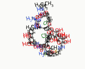 CN[C@H](CC(C)C)C(=O)NC1C(=O)NC(CC(N)=O)C(=O)N[C@H]2C(=O)NC(C)c3ccc(O)c(c3)-c3c(O)cc(O)cc3C(C(=O)O)NC(=O)[C@@H](NC=O)[C@H](OC3C[C@](C)(N)[C@@H](O)[C@H](C)O3)c3ccc(c(Cl)c3)Oc3cc2cc(c3O[C@@H]2O[C@H](CO)[C@@H](O[C@@H]3O[C@H](CNCc4ccc(-c5ccc(F)cc5)s4)[C@H](O)[C@H](O)[C@H]3O)[C@H](O)[C@H]2O)Oc2ccc(cc2Cl)[C@H]1O